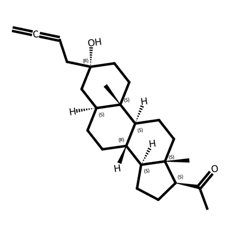 C=C=CC[C@@]1(O)CC[C@@]2(C)[C@@H](CC[C@@H]3[C@@H]2CC[C@]2(C)[C@@H](C(C)=O)CC[C@@H]32)C1